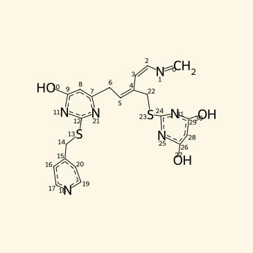 C=N/C=C\C(=C/Cc1cc(O)nc(SCc2ccncc2)n1)CSc1nc(O)cc(O)n1